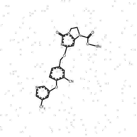 CC(C)(C)OC(=O)N1CCn2c1cc(OCc1ccc(Oc3cncc(C(F)(F)F)c3)c(C#N)c1)nc2=O